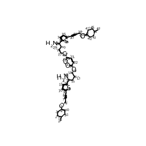 CC1CCC(OCC#Cc2ccc(C(N)C[C@@H](C)COC(=O)/C=C\C(=O)OC[C@H](C)CC(N)c3ccc(C#CCOC4CCC(C)CC4)s3)s2)CC1